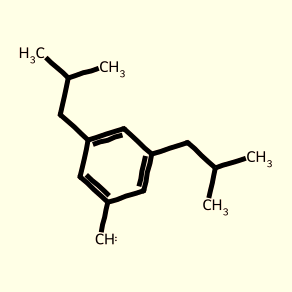 [CH]c1cc(CC(C)C)cc(CC(C)C)c1